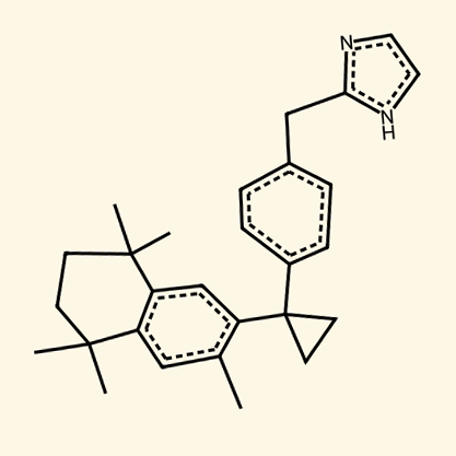 Cc1cc2c(cc1C1(c3ccc(Cc4ncc[nH]4)cc3)CC1)C(C)(C)CCC2(C)C